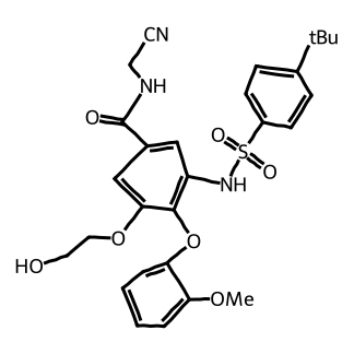 COc1ccccc1Oc1c(NS(=O)(=O)c2ccc(C(C)(C)C)cc2)cc(C(=O)NCC#N)cc1OCCO